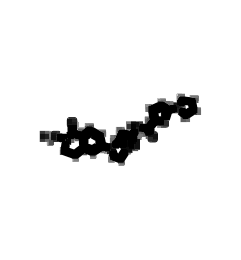 CN1CCc2cc(N3CCn4nc(NC(=O)c5ccc(N6CCCC6)s5)cc43)ccc2C1=O